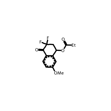 CCC(=O)OC1CC(F)(F)C(=O)c2ccc(OC)cc21